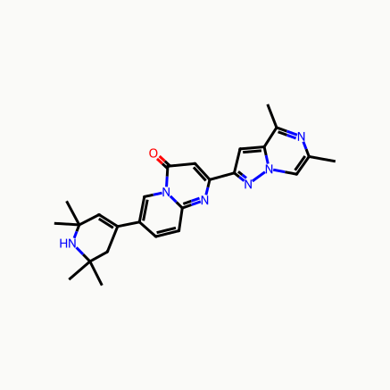 Cc1cn2nc(-c3cc(=O)n4cc(C5=CC(C)(C)NC(C)(C)C5)ccc4n3)cc2c(C)n1